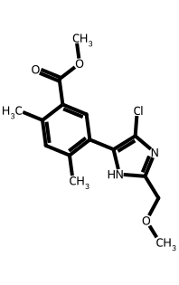 COCc1nc(Cl)c(-c2cc(C(=O)OC)c(C)cc2C)[nH]1